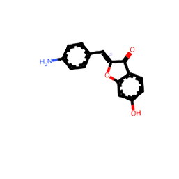 Nc1ccc(/C=C2\Oc3cc(O)ccc3C2=O)cc1